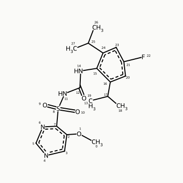 COc1cncnc1S(=O)(=O)NC(=O)Nc1c(C(C)C)cc(F)cc1C(C)C